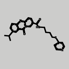 CC(C)c1ccc2nc3ccc(C(=O)NCCCCSc4ccncc4)cn3c(=O)c2c1